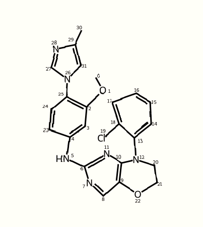 COc1cc(Nc2ncc3c(n2)N(c2ccccc2Cl)CCO3)ccc1-n1cnc(C)c1